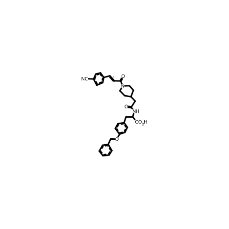 N#Cc1ccc(/C=C/C(=O)N2CCC(CC(=O)NC(Cc3ccc(OCc4ccccc4)cc3)C(=O)O)CC2)cc1